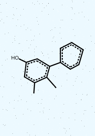 Cc1cc(O)cc(-c2ccccc2)c1C